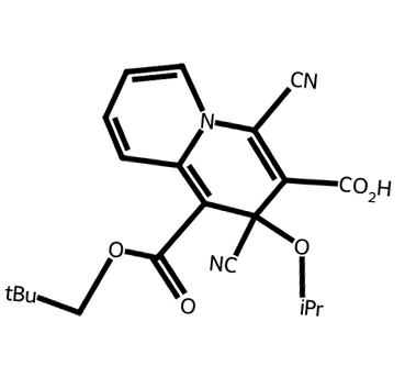 CC(C)OC1(C#N)C(C(=O)O)=C(C#N)N2C=CC=CC2=C1C(=O)OCC(C)(C)C